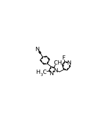 Cc1nn(Cc2ccnc(F)c2)c(C)c1-c1ccc(C#N)cc1